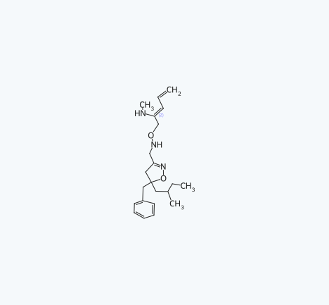 C=C/C=C(/CONCC1=NOC(Cc2ccccc2)(CC(C)CC)C1)NC